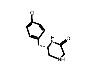 O=C1CNC[C@H](Cc2ccc(Cl)cc2)N1